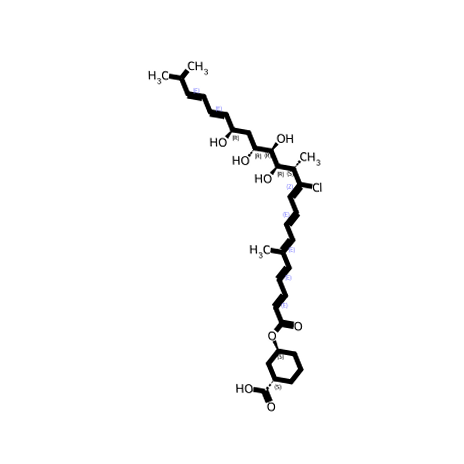 CC(/C=C/C=C/C(=O)O[C@H]1CCC[C@H](C(=O)O)C1)=C\C=C\C=C(/Cl)[C@@H](C)[C@@H](O)[C@H](O)[C@H](O)C[C@@H](O)/C=C/C=C/C(C)C